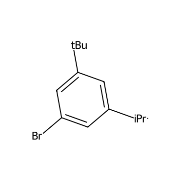 C[C](C)c1cc(Br)cc(C(C)(C)C)c1